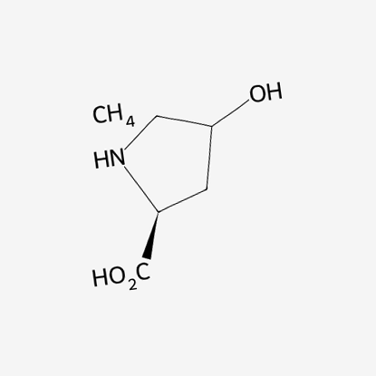 C.O=C(O)[C@@H]1CC(O)CN1